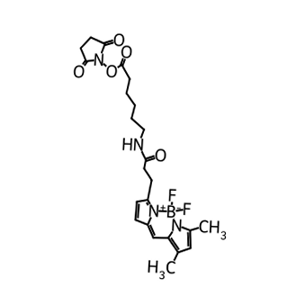 Cc1cc(C)n2c1C=C1C=CC(CCC(=O)NCCCCCC(=O)ON3C(=O)CCC3=O)=[N+]1[B-]2(F)F